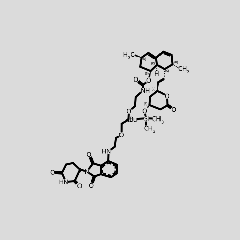 C[C@H]1C=C2C=C[C@H](C)[C@H](CC[C@@H]3C[C@@H](O[Si](C)(C)C(C)(C)C)CC(=O)O3)[C@H]2[C@@H](OC(=O)NCCOCCOCCNc2cccc3c2C(=O)N(C2CCC(=O)NC2=O)C3=O)C1